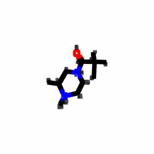 CC1CN(C(=O)C(C)(C)C)CCN1C